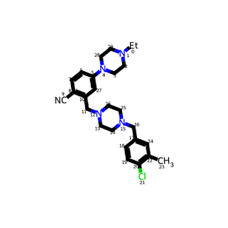 CCN1CCN(c2ccc(C#N)c(CN3CCN(Cc4ccc(Cl)c(C)c4)CC3)c2)CC1